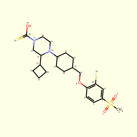 CS(=O)(=O)c1ccc(OCC2CCC(N3CCN(C(O)=S)CC3C3CCC3)CC2)c(F)c1